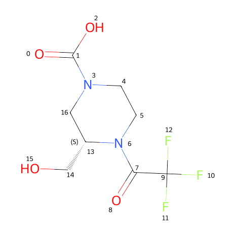 O=C(O)N1CCN(C(=O)C(F)(F)F)[C@H](CO)C1